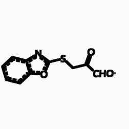 O=[C]C(=O)CSc1nc2ccccc2o1